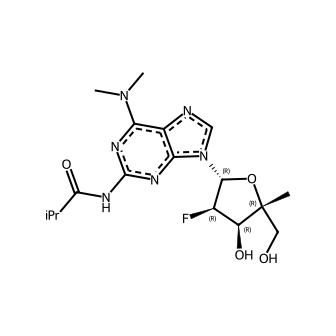 CC(C)C(=O)Nc1nc(N(C)C)c2ncn([C@@H]3O[C@](C)(CO)[C@@H](O)[C@H]3F)c2n1